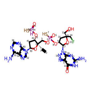 C#C[C@]1(COP(=O)(S)O[C@@H]2C[C@](CO)(CF)O[C@H]2n2nnc3c(=O)[nH]c(N)nc32)O[C@@H](n2cnc3c(N)ncnc32)C[C@@H]1O[PH](=O)S